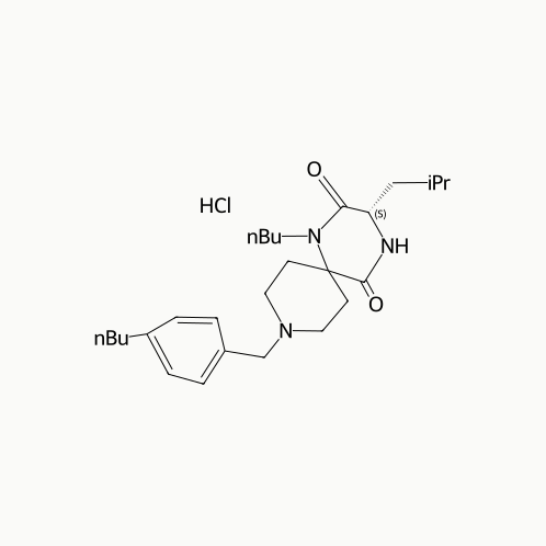 CCCCc1ccc(CN2CCC3(CC2)C(=O)N[C@@H](CC(C)C)C(=O)N3CCCC)cc1.Cl